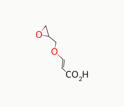 O=C(O)C=COCC1CO1